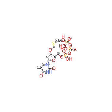 CSSCO[C@H]1C[C@H](n2cc(C)c(=O)[nH]c2=O)O[C@@H]1COP(=O)(O)OP(=O)(O)OP(=O)(O)O